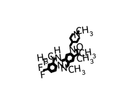 Cc1nnc(N[C@H](C)c2cccc(C(F)F)c2F)c2cc3c(cc12)C(C)(C)C(=O)N3CC1CCN(C)CC1